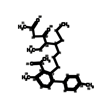 CCCC(CCCc1c(-c2ccc(C)cc2)ccc(C)c1C(C)=O)C(CC)C(=O)CC(C)=O